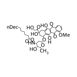 CCCCCCCCCCCCCCCC(=O)ONC1CC(O[C@H]2C[C@](O)(C(=O)CO)Cc3c(O)c4c(c(O)c32)C(=O)c2c(OC)cccc2C4=O)OC(C)C1O